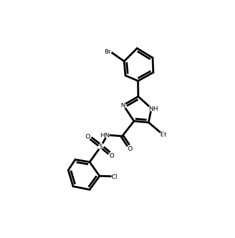 CCc1[nH]c(-c2cccc(Br)c2)nc1C(=O)NS(=O)(=O)c1ccccc1Cl